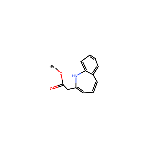 CC(C)(C)OC(=O)CC1=CC=Cc2ccccc2N1